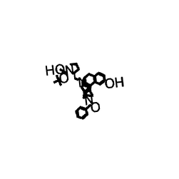 CC(C)(C)OC(O)N1CCC[C@H]1CN1CCC23c4cc(O)ccc4CC1C21CC24CN(C(=O)c5ccccc5)C(CC21)C43